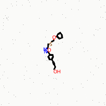 OCCC#Cc1ccc(-c2nnc(CSCCOc3ccccc3)o2)cc1